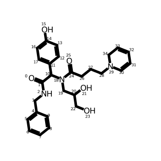 O=C(NCc1ccccc1)C(c1ccc(O)cc1)N(CC(O)CO)C(=O)CCCN1C=CC=CC1